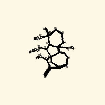 C=C1C2CCC3C4(C=O)CCCC(C)(C(=O)O)C4C(C(=O)O)C3(C2)C1O